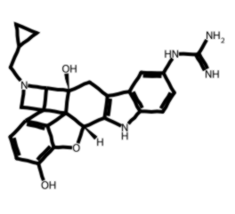 N=C(N)Nc1ccc2[nH]c3c(c2c1)C[C@@]1(O)C2N(CC4CC4)CC24c2ccc(O)c5c2C41[C@H]3O5